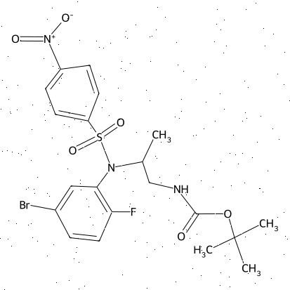 CC(CNC(=O)OC(C)(C)C)N(c1cc(Br)ccc1F)S(=O)(=O)c1ccc([N+](=O)[O-])cc1